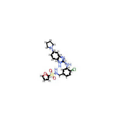 O=S(=O)(NCc1ccc(Cl)c(Nc2nc3cc(N4CCCC4)ccc3[nH]2)c1)c1ccco1